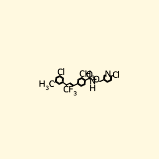 Cc1cc(Cl)cc(C(/C=C/c2ccc(C(=O)NOCc3ccc(Cl)nc3)c(C)c2)C(F)(F)F)c1